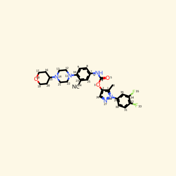 Cc1c(OC(=O)Nc2ccc(N3CCN(C4CCOCC4)CC3)c(C#N)c2)cnn1-c1ccc(F)c(F)c1